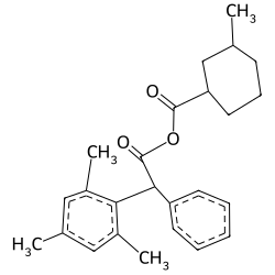 Cc1cc(C)c(C(C(=O)OC(=O)C2CCCC(C)C2)c2ccccc2)c(C)c1